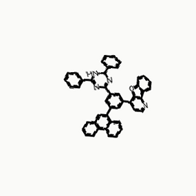 c1ccc(C2=NC(c3cc(-c4cc5ccccc5c5ccccc45)cc(-c4ccnc5c4oc4ccccc45)c3)=NC(c3ccccc3)N2)cc1